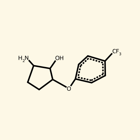 NC1CCC(Oc2ccc(C(F)(F)F)cc2)C1O